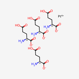 N[C@@H](CCC(=O)O)C(=O)[O-].N[C@@H](CCC(=O)O)C(=O)[O-].N[C@@H](CCC(=O)O)C(=O)[O-].N[C@@H](CCC(=O)O)C(=O)[O-].[Pt+4]